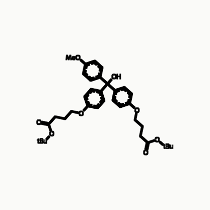 COc1ccc(C(O)(c2ccc(OCCCC(=O)OC(C)(C)C)cc2)c2ccc(OCCCC(=O)OC(C)(C)C)cc2)cc1